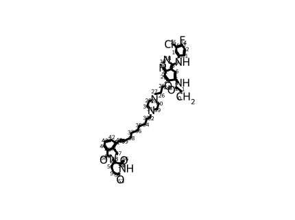 C=CC(=O)Nc1cc2c(Nc3ccc(F)c(Cl)c3)ncnc2cc1OCCCN1CCN(CCCCCCCC#Cc2cccc3c2CN(C2CCC(=O)NC2=O)C3=O)CC1